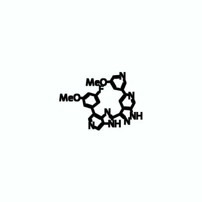 COc1cncc(-c2cc3c(-c4nc5c(-c6cc(F)cc(OC)c6)cncc5[nH]4)n[nH]c3cn2)c1